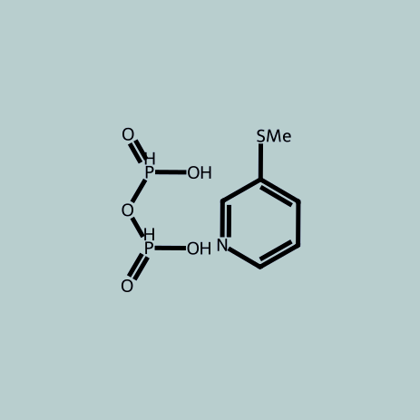 CSc1cccnc1.O=[PH](O)O[PH](=O)O